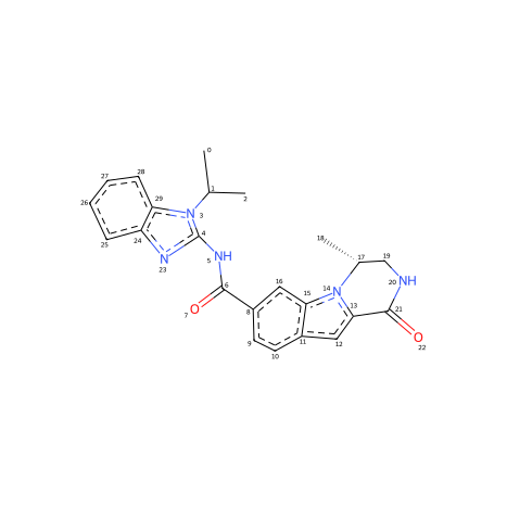 CC(C)n1c(NC(=O)c2ccc3cc4n(c3c2)[C@H](C)CNC4=O)nc2ccccc21